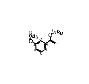 [CH]=C(OCCCC)c1cc[c]c(OCCCC)c1